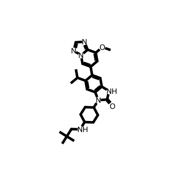 COc1cc(-c2cc3[nH]c(=O)n(C4CCC(NCC(C)(C)C)CC4)c3cc2C(C)C)cn2ncnc12